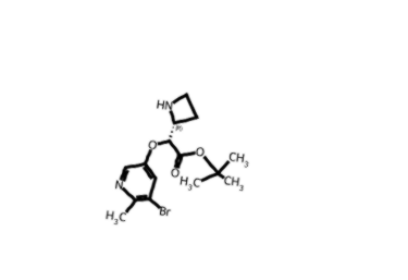 Cc1ncc(OC(C(=O)OC(C)(C)C)[C@H]2CCN2)cc1Br